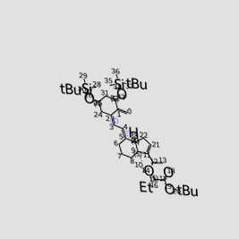 C=C1/C(=C\C=C2/CCC[C@]3(C)C(C(C)O[C@@H](CC)C(=O)OC(C)(C)C)=CC[C@@H]23)C[C@@H](O[Si](C)(C)C(C)(C)C)C[C@@H]1O[Si](C)(C)C(C)(C)C